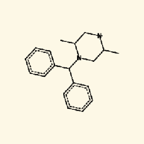 CC1CN(C(c2ccccc2)c2ccccc2)C(C)C[N]1